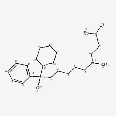 CCN(CC)CCN(C)CCCCCC(O)(c1ccccc1)C1CCCCC1